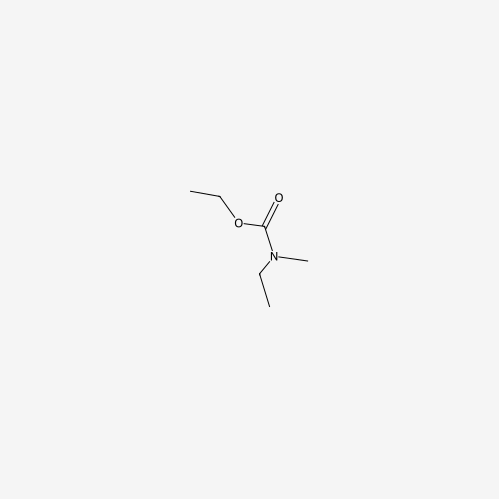 CCOC(=O)N(C)CC